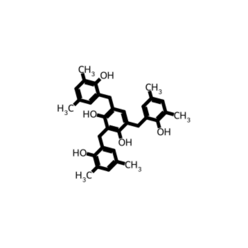 Cc1cc(C)c(O)c(Cc2cc(Cc3cc(C)cc(C)c3O)c(O)c(Cc3cc(C)cc(C)c3O)c2O)c1